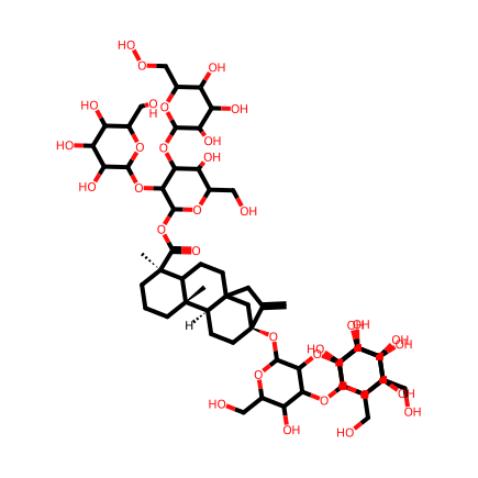 C=C1CC23CCC4[C@](C)(C(=O)OC5OC(CO)C(O)C(OC6OC(COO)C(O)C(O)C6O)C5OC5OC(CO)C(O)C(O)C5O)CCC[C@@]4(C)[C@@H]2CC[C@]1(OC1OC(CO)C(O)C(OC2OC(CO)C(O)C(O)C2O)C1OC1OC(CO)C(O)C(O)C1O)C3